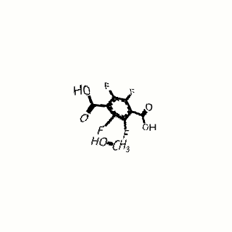 CO.O=C(O)c1c(F)c(F)c(C(=O)O)c(F)c1F